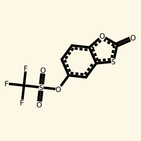 O=c1oc2ccc(OS(=O)(=O)C(F)(F)F)cc2s1